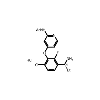 CC[C@@H](N)c1ccc(Cl)c(Oc2ccnc(NC(C)=O)c2)c1F.Cl